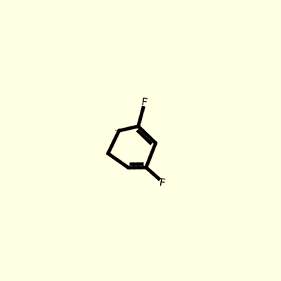 FC1=CC(F)=CC[CH]1